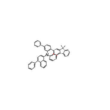 CC1(C)c2ccccc2-c2ccc(-c3ccc(-c4ccccc4)cc3N(c3ccccc3)c3ccc(-c4ccccc4)c4ccccc34)cc21